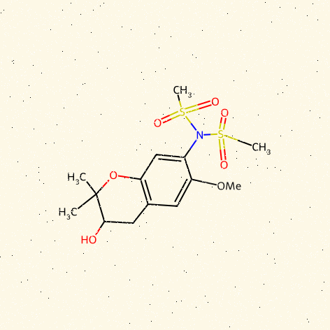 COc1cc2c(cc1N(S(C)(=O)=O)S(C)(=O)=O)OC(C)(C)C(O)C2